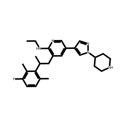 CCNc1ncc(-c2cnn(C3CCNCC3)c2)cc1CC(C)c1c(C)ccc(F)c1C